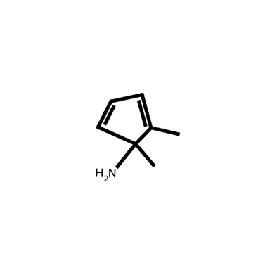 CC1=CC=CC1(C)N